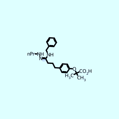 CCCN/N=C(/CCCc1ccc(OC(C)(C)C(=O)O)cc1)NCc1ccccc1